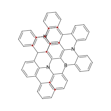 C1=CCC(c2cccc(-c3ccccc3)c2N2c3ccccc3B3c4ccccc4N(c4ccccc4-c4ccccc4)c4cc(N(c5ccccc5)c5ccccc5)cc2c43)C=C1